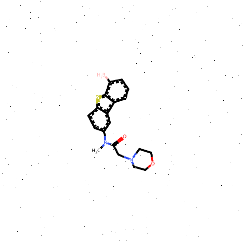 Bc1cccc2c1sc1ccc(N(C)C(=O)CN3CCOCC3)cc12